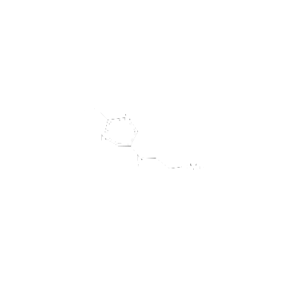 COCCN(C)c1cnc(C=O)nc1